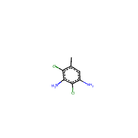 Cc1cc(N)c(Cl)c(N)c1Cl